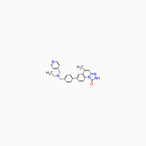 CCN(Cc1ccncc1)Cc1ccc(-c2ccc3c(c2)c(C)cc2n[nH]c(=O)n23)cc1